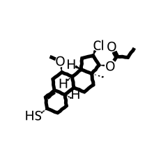 CCC(=O)O[C@H]1[C@H](Cl)C[C@H]2[C@@H]3[C@@H](OC)CC4=C[C@@H](S)CC[C@]4(C)[C@H]3CC[C@@]21C